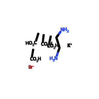 CC(=O)O.CC(=O)O.CC(=O)O.CC(=O)O.NCCN.[Br-].[K+]